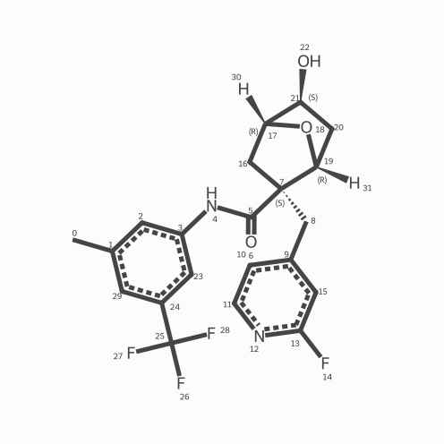 Cc1cc(NC(=O)[C@@]2(Cc3ccnc(F)c3)C[C@H]3O[C@@H]2C[C@@H]3O)cc(C(F)(F)F)c1